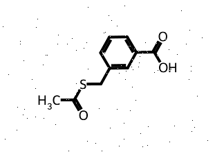 CC(=O)SCc1cccc(C(=O)O)c1